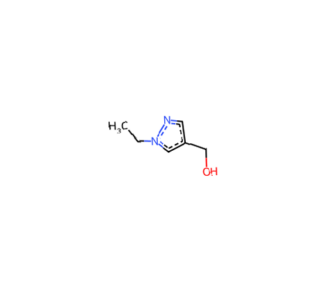 CCn1cc(CO)cn1